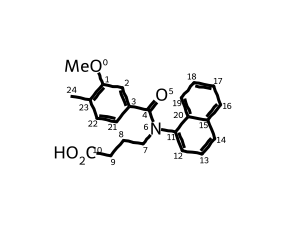 COc1cc(C(=O)N(CCCC(=O)O)c2cccc3ccccc23)ccc1C